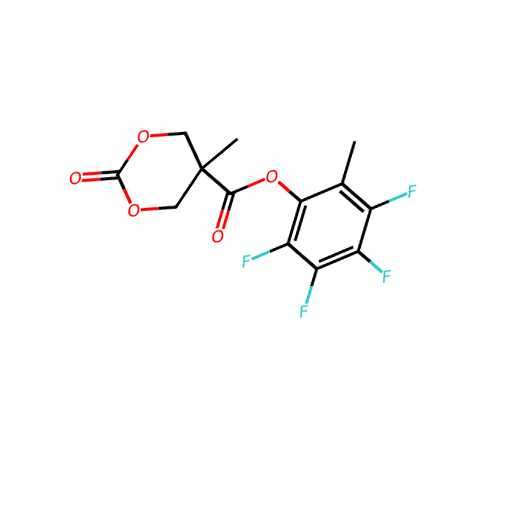 Cc1c(F)c(F)c(F)c(F)c1OC(=O)C1(C)COC(=O)OC1